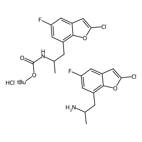 CC(Cc1cc(F)cc2cc(Cl)oc12)NC(=O)OC(C)(C)C.CC(N)Cc1cc(F)cc2cc(Cl)oc12.Cl